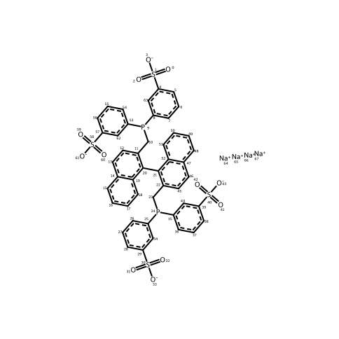 O=S(=O)([O-])c1cccc(P(Cc2ccc3ccccc3c2-c2c(CP(c3cccc(S(=O)(=O)[O-])c3)c3cccc(S(=O)(=O)[O-])c3)ccc3ccccc23)c2cccc(S(=O)(=O)[O-])c2)c1.[Na+].[Na+].[Na+].[Na+]